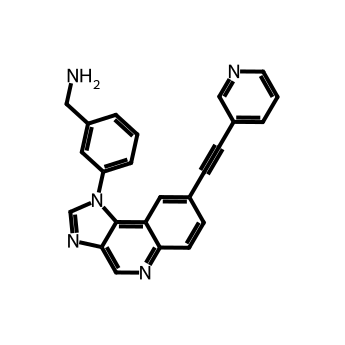 NCc1cccc(-n2cnc3cnc4ccc(C#Cc5cccnc5)cc4c32)c1